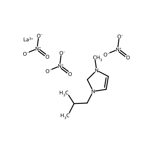 CC(C)CN1C=CN(C)C1.O=[N+]([O-])[O-].O=[N+]([O-])[O-].O=[N+]([O-])[O-].[La+3]